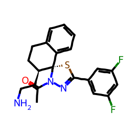 CC(=O)N1N=C(c2cc(F)cc(F)c2)S[C@]12c1ccccc1CC[C@@H]2CCN